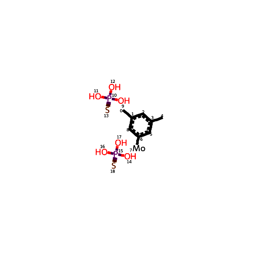 Cc1cc(C)c[c]([Mo])c1.OP(O)(O)=S.OP(O)(O)=S